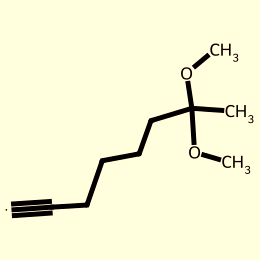 [C]#CCCCCC(C)(OC)OC